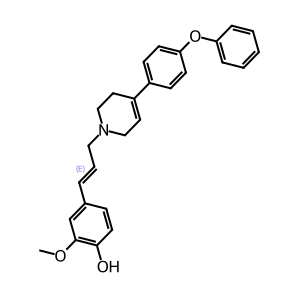 COc1cc(/C=C/CN2CC=C(c3ccc(Oc4ccccc4)cc3)CC2)ccc1O